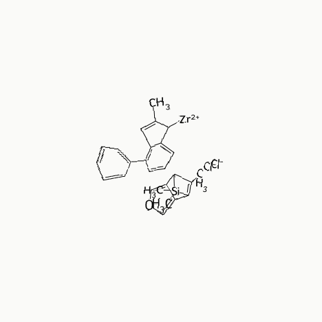 CC1=C2c3cocc3C1[Si]2(C)C.CC1=Cc2c(-c3ccccc3)cccc2[CH]1[Zr+2].[Cl-].[Cl-]